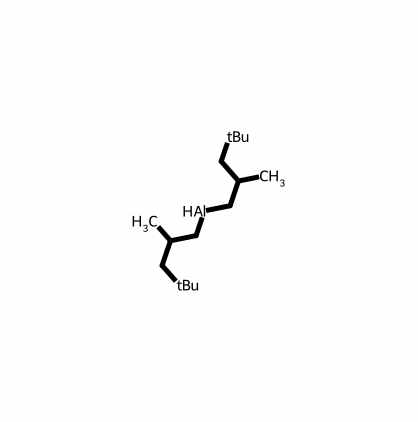 CC([CH2][AlH][CH2]C(C)CC(C)(C)C)CC(C)(C)C